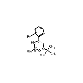 CC(C)c1ccccc1[C@H](CO[Si](C)(C)C(C)(C)C)N[S@@+]([O-])C(C)(C)C